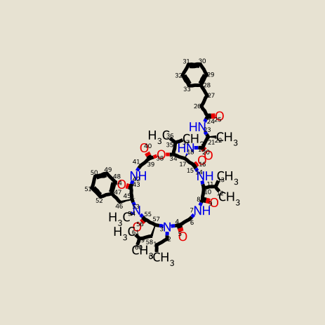 CCCN1C(=O)CNC(=O)C(C(C)C)NC(=O)[C@@H](NC(=O)[C@H](C)NC(=O)CCc2ccccc2)C(C(C)C)OC(=O)CNC(=O)[C@H](Cc2ccccc2)N(C)C(=O)[C@@H]1CC(C)C